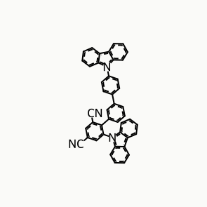 N#Cc1cc(C#N)c(-c2cccc(-c3ccc(-n4c5ccccc5c5ccccc54)cc3)c2)c(-n2c3ccccc3c3ccccc32)c1